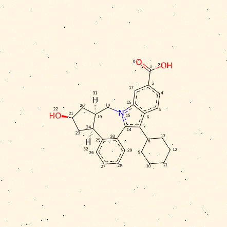 O=C(O)c1ccc2c(C3CCCCC3)c3n(c2c1)C[C@@H]1C[C@H](O)C[C@@H]1c1ccccc1-3